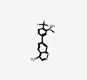 CB(O)c1cc(-c2ccc3c(N)cnnc3c2)ccc1C(F)(F)F